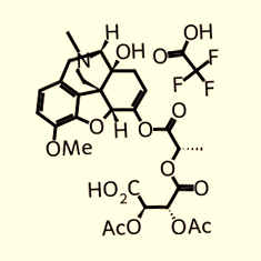 COc1ccc2c3c1O[C@H]1C(OC(=O)[C@H](C)OC(=O)[C@H](OC(C)=O)[C@@H](OC(C)=O)C(=O)O)=CC[C@@]4(O)[C@@H](C2)N(C)CC[C@]314.O=C(O)C(F)(F)F